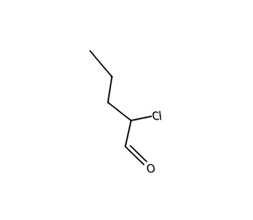 CCCC(Cl)C=O